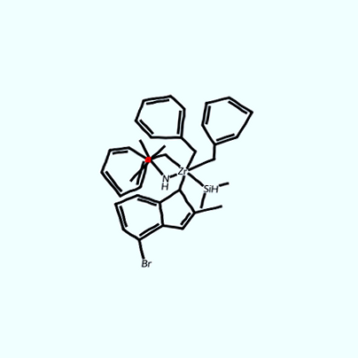 CC1=Cc2c(Br)cccc2[CH]1[Zr]([CH2]c1ccccc1)([CH2]c1ccccc1)([CH2]c1ccccc1)([NH]C(C)(C)C)[SiH](C)C